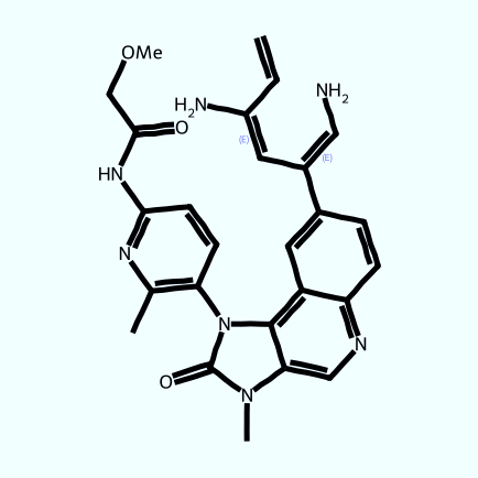 C=C/C(N)=C\C(=C/N)c1ccc2ncc3c(c2c1)n(-c1ccc(NC(=O)COC)nc1C)c(=O)n3C